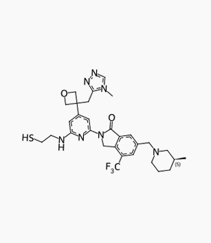 C[C@H]1CCCN(Cc2cc3c(c(C(F)(F)F)c2)CN(c2cc(C4(Cc5nncn5C)COC4)cc(NCCS)n2)C3=O)C1